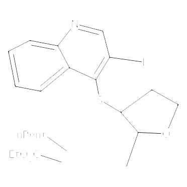 CC1OCCC1Sc1c(I)cnc2ccccc12.CCCCCC.CCOC(C)=O